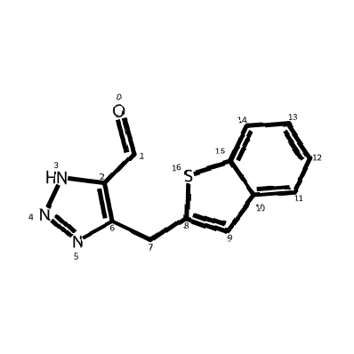 O=Cc1[nH]nnc1Cc1cc2ccccc2s1